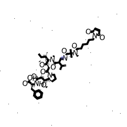 CC[C@H](C)[C@@H]([C@@H](CC(=O)N1CCC[C@H]1[C@H](OC)[C@@H](C)C(=O)N[C@@H](Cc1ccccc1)C(=O)O)OC)N(C)C(=O)C(/C=N/C(=O)C(C)(C)N(C)C(=O)CCCCCN1C(=O)C=CC1=O)C(C)C